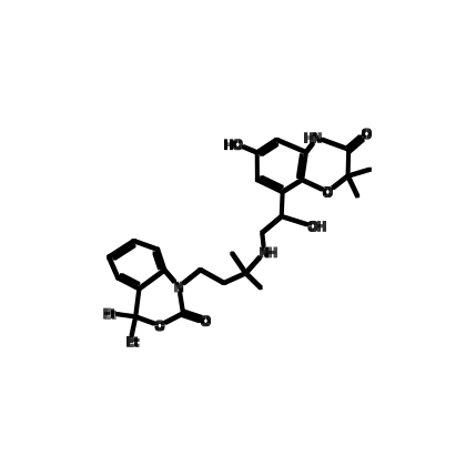 CCC1(CC)OC(=O)N(CCC(C)(C)NCC(O)c2cc(O)cc3c2OC(C)(C)C(=O)N3)c2ccccc21